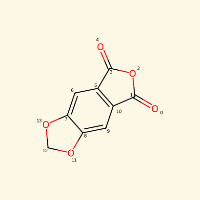 O=C1OC(=O)c2cc3c(cc21)OCO3